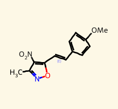 COc1ccc(/C=C/c2onc(C)c2[N+](=O)[O-])cc1